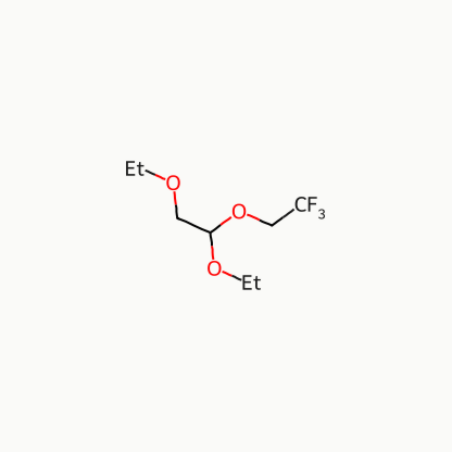 [CH2]COCC(OCC)OCC(F)(F)F